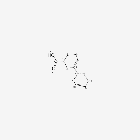 O=C(O)C1CCC=C(C2CC=CCC2)C1